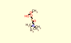 CCOC(CO)OCCSC(=O)CCN(C(C)C)C(C)C